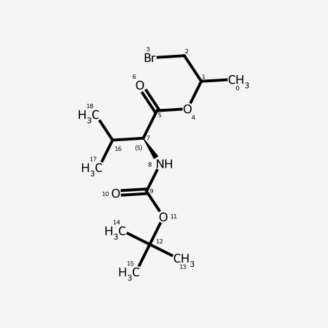 CC(CBr)OC(=O)[C@@H](NC(=O)OC(C)(C)C)C(C)C